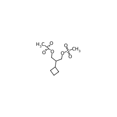 CS(=O)(=O)OCC(COS(C)(=O)=O)C1CCC1